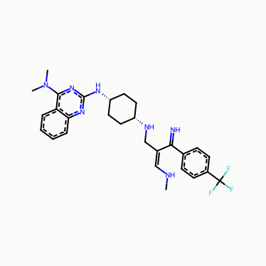 CN/C=C(/CN[C@H]1CC[C@@H](Nc2nc(N(C)C)c3ccccc3n2)CC1)C(=N)c1ccc(C(F)(F)F)cc1